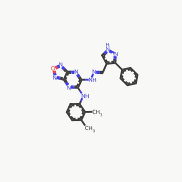 Cc1cccc(Nc2nc3nonc3nc2NN=Cc2c[nH]nc2-c2ccccc2)c1C